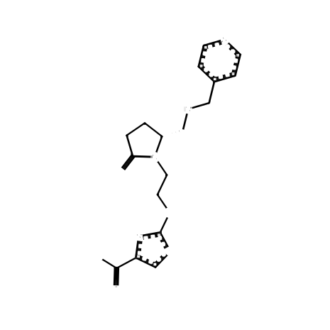 O=C(O)c1csc(SCCN2C(=O)CC[C@@H]2CNCc2ccncc2)n1